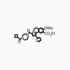 CCOC(=O)c1cc2c(cc1OC)CCn1c(C(=O)N3CCCN(C(=O)C4CCC4)CC3)cc(-c3cccs3)c1-2